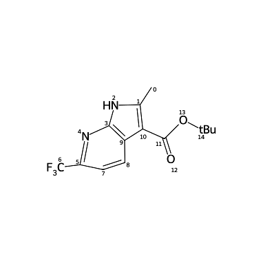 Cc1[nH]c2nc(C(F)(F)F)ccc2c1C(=O)OC(C)(C)C